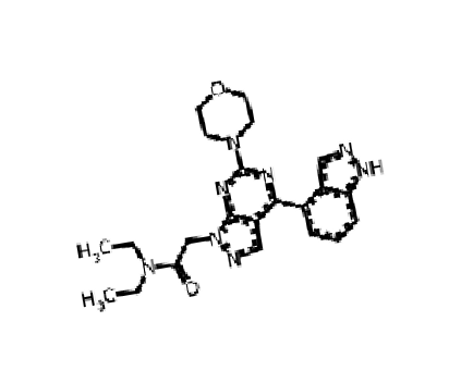 CCN(CC)C(=O)Cn1ncc2c(-c3cccc4[nH]ncc34)nc(N3CCOCC3)nc21